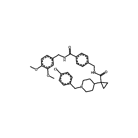 COc1ccc(CNC(=O)c2ccc(CNC(=O)C3(C4CCN(Cc5ccc(Cl)cc5)CC4)CC3)cc2)cc1OC